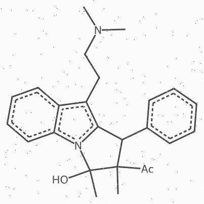 CC(=O)C1(C)C(c2ccccc2)c2c(CCN(C)C)c3ccccc3n2C1(C)O